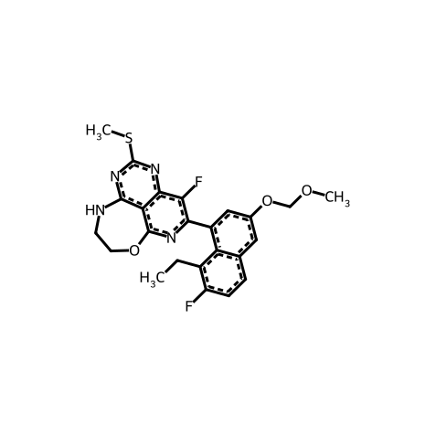 CCc1c(F)ccc2cc(OCOC)cc(-c3nc4c5c(nc(SC)nc5c3F)NCCO4)c12